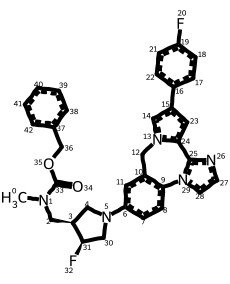 CN(C[C@H]1CN(c2ccc3c(c2)Cn2cc(-c4ccc(F)cc4)cc2-c2nccn2-3)C[C@H]1F)C(=O)OCc1ccccc1